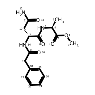 COC(=O)[C@H](C)NC(=O)[C@@H](CC(N)=O)NC(=O)Cc1ccccc1